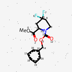 COC(=O)C1CC(F)(F)CCN1C(=O)OCc1ccccc1